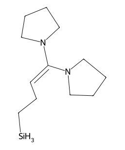 [SiH3]CCC=C(N1CCCC1)N1CCCC1